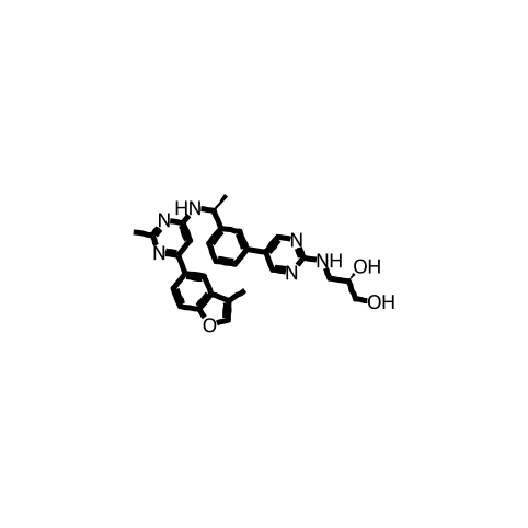 Cc1nc(N[C@@H](C)c2cccc(-c3cnc(NC[C@H](O)CO)nc3)c2)cc(-c2ccc3occ(C)c3c2)n1